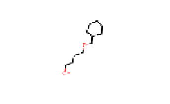 OCCCCOCC1CCCCC1